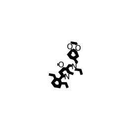 CCCN(Cc1ccc2c(c1)OCCO2)Cc1c(OC)cc(-c2c(CC)cccc2CC)nc1C